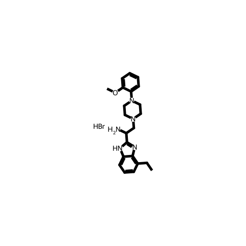 Br.CCc1cccc2[nH]c(C(N)CN3CCN(c4ccccc4OC)CC3)nc12